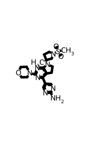 C[C@]1(N2CCc3c(-c4cnc(N)nc4)nc(N4CCOCC4)nc32)CCN(S(C)(=O)=O)C1